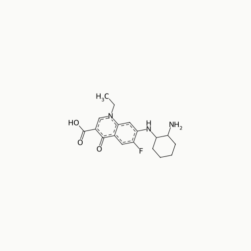 CCn1cc(C(=O)O)c(=O)c2cc(F)c(NC3CCCCC3N)cc21